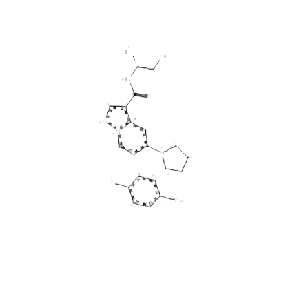 CC(C)[C@@H](CO)NC(=O)c1cnn2ccc(N3CCC[C@@H]3c3cc(F)ccc3F)cc12